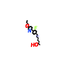 C=CCOc1ccc(-c2ccc(/C=C/CCCC(C)O)cc2F)nc1